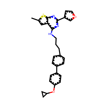 Cc1cc2c(NCCCc3ccc(-c4ccc(OC5CC5)cc4)cc3)nc(-c3ccoc3)nc2s1